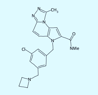 CNC(=O)c1cc2c(ccc3nnc(C)n32)n1Cc1cc(Cl)cc(CN2CCC2)c1